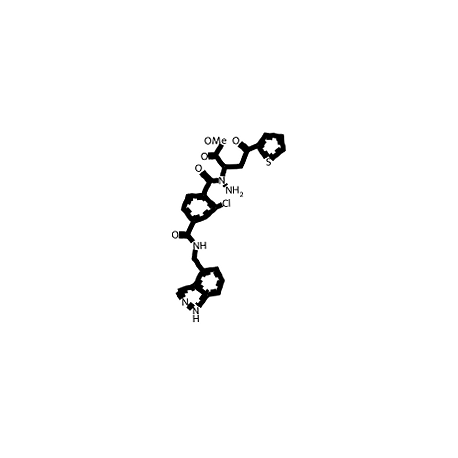 COC(=O)C(CC(=O)c1cccs1)N(N)C(=O)c1ccc(C(=O)NCc2cccc3[nH]ncc23)cc1Cl